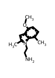 COc1ccc(C)c2c1cc(C)n2CCN